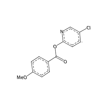 COc1ccc(C(=O)Oc2c[c]c(Cl)cn2)cc1